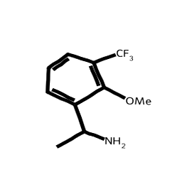 COc1c(C(C)N)cccc1C(F)(F)F